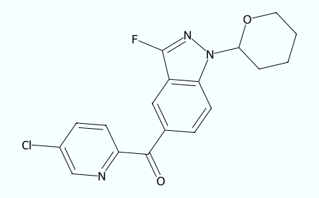 O=C(c1ccc2c(c1)c(F)nn2C1CCCCO1)c1ccc(Cl)cn1